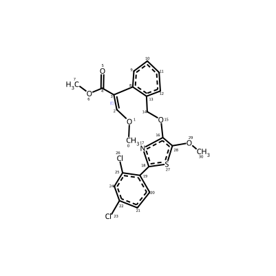 CO/C=C(/C(=O)OC)c1ccccc1COc1nc(-c2ccc(Cl)cc2Cl)sc1OC